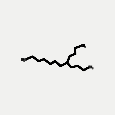 CCCCCCCC(CCCC)CCCC